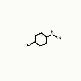 N#CNC1CCC(O)CC1